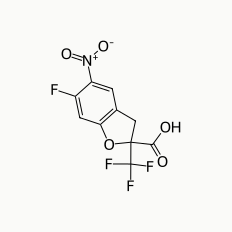 O=C(O)C1(C(F)(F)F)Cc2cc([N+](=O)[O-])c(F)cc2O1